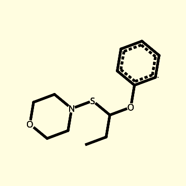 CCC(Oc1[c]cccc1)SN1CCOCC1